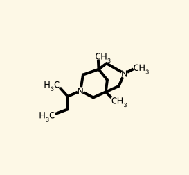 CCC(C)N1CC2(C)CN(C)CC(C)(C1)C2